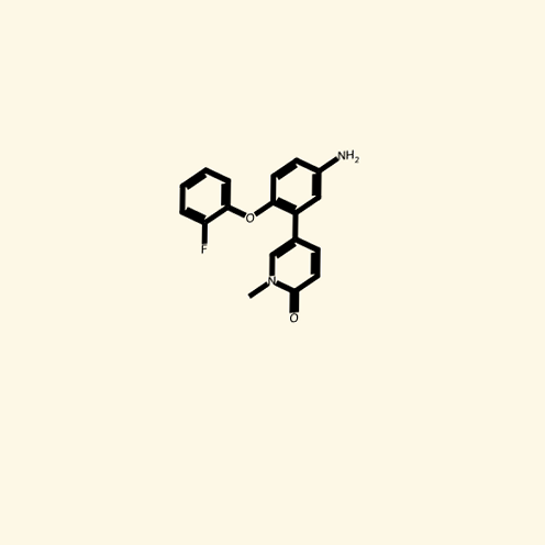 Cn1cc(-c2cc(N)ccc2Oc2ccccc2F)ccc1=O